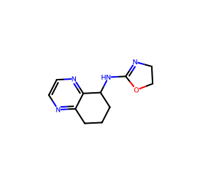 c1cnc2c(n1)CCCC2NC1=NCCO1